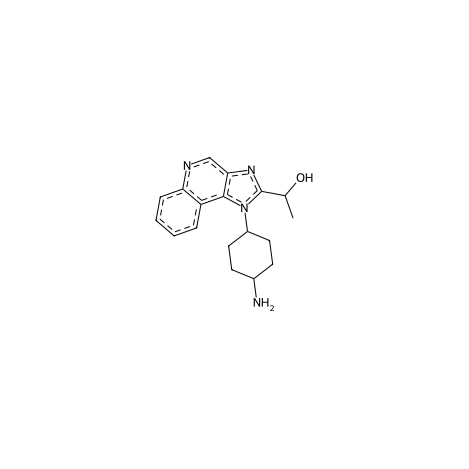 CC(O)c1nc2cnc3ccccc3c2n1C1CCC(N)CC1